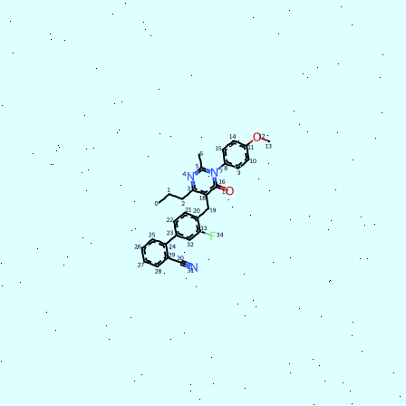 CCCc1nc(C)n(-c2ccc(OC)cc2)c(=O)c1Cc1ccc(-c2ccccc2C#N)cc1F